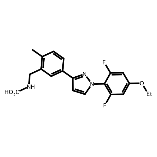 CCOc1cc(F)c(-n2ccc(-c3ccc(C)c(CNC(=O)O)c3)n2)c(F)c1